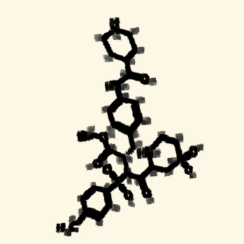 Cc1ccc(S(=O)(=O)N(C(=O)C2CS(=O)(=O)CCN2)[C@@H](Cc2ccc(NC(=O)C3CCNCC3)cc2)C(=O)OC(C)(C)C)cc1